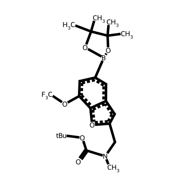 CN(Cc1cc2cc(B3OC(C)(C)C(C)(C)O3)cc(OC(F)(F)F)c2o1)C(=O)OC(C)(C)C